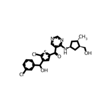 C[C@H]1C[C@H](Nc2ncncc2C(=O)c2cc(C(O)c3cccc(Cl)c3)c(Cl)s2)C[C@@H]1CO